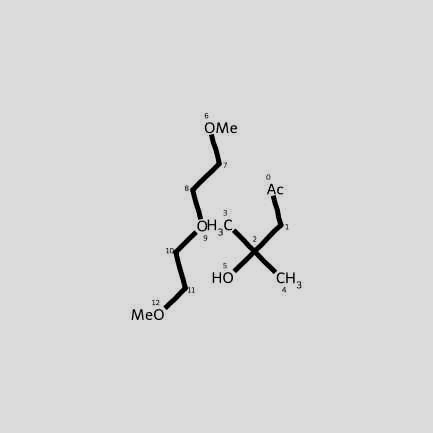 CC(=O)CC(C)(C)O.COCCOCCOC